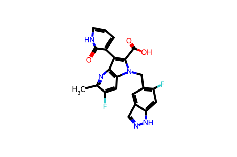 Cc1nc2c(-c3ccc[nH]c3=O)c(C(=O)O)n(Cc3cc4cn[nH]c4cc3F)c2cc1F